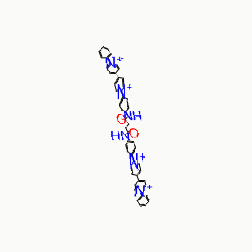 O=C(CCC(=O)Nc1ccc(-[n+]2ccc(-c3cc[n+](-c4ccccc4)cc3)cc2)cc1)Nc1ccc(-[n+]2ccc(-c3cc[n+](-c4ccccc4)cc3)cc2)cc1